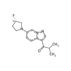 CC(C)C(=O)c1cnn2cc(N3CC[C@H](F)C3)ccc12